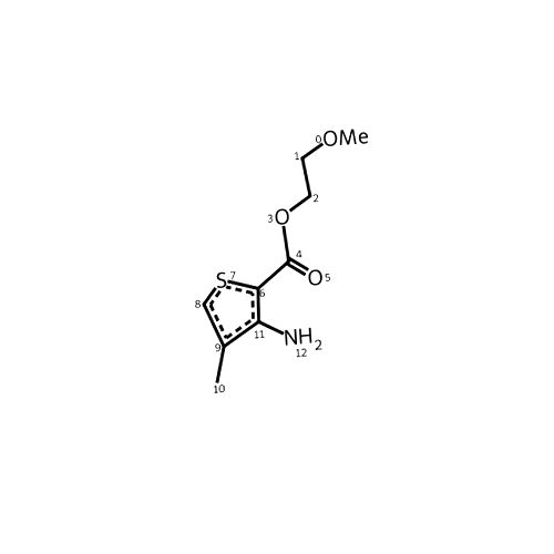 COCCOC(=O)c1scc(C)c1N